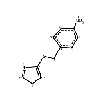 O=[N+]([O-])c1ccc(CSC2=NCC=N2)cc1